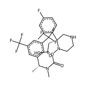 Cc1cc(F)ccc1[C@@]1(CC(=O)O)CNCCN1OC(=O)N(C)[C@H](C)c1cc(C(F)(F)F)cc(C(F)(F)F)c1